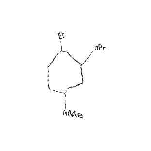 CCCC1CC(NC)CCC1CC